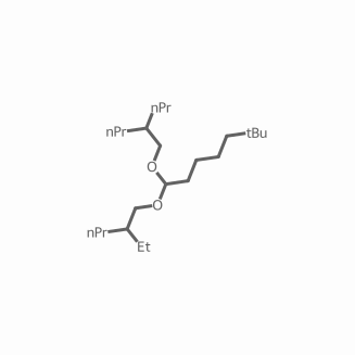 CCCC(CC)COC(CCCCC(C)(C)C)OCC(CCC)CCC